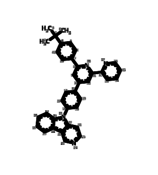 CC(C)(C)c1ccc(-c2cc(-c3ccc(-n4c5ccccc5c5cnccc54)cc3)cc(-c3ccccn3)n2)cc1